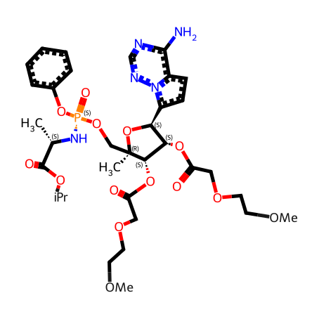 COCCOCC(=O)O[C@H]1[C@H](c2ccc3c(N)ncnn23)O[C@](C)(CO[P@@](=O)(N[C@@H](C)C(=O)OC(C)C)Oc2ccccc2)[C@H]1OC(=O)COCCOC